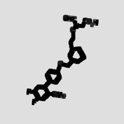 COc1cc(F)c(F)cc1-c1ccc(OCc2cccc(CCON(C=O)CC(=O)O)c2)cc1